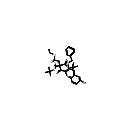 CCOC(=O)CC(C(=O)OC(C)(C)C)(C(=O)OC(C)(C)C)C(=O)c1nc2ccc(Br)cc2cc1OCc1ccccc1